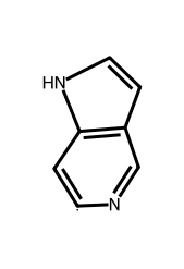 [c]1cc2[nH]ccc2cn1